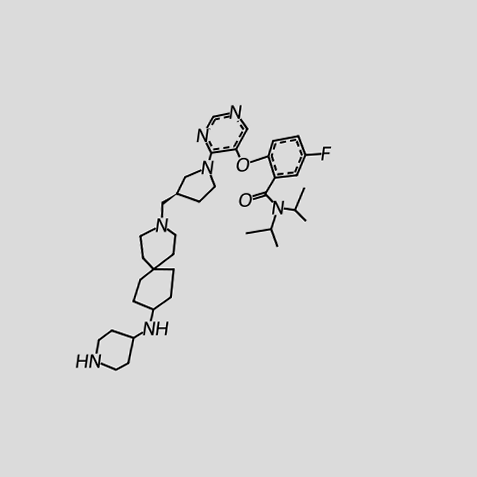 CC(C)N(C(=O)c1cc(F)ccc1Oc1cncnc1N1CC[C@@H](CN2CCC3(CCC(NC4CCNCC4)CC3)CC2)C1)C(C)C